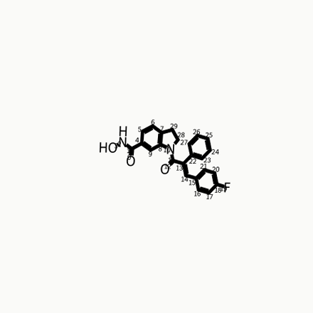 O=C(NO)c1ccc2c(c1)N(C(=O)C(=Cc1ccc(F)cc1)c1ccccc1)CC2